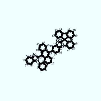 c1ccc(-n2c(-c3c4ccccc4c(-c4ccc5c(c4)nc4n5-c5ccccc5C45c4ccccc4-c4ccccc45)c4ccccc34)nc3ccccc32)cc1